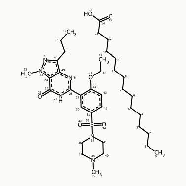 CCCCCCCCCCCCCCC(=O)O.CCCc1nn(C)c2c(=O)[nH]c(-c3cc(S(=O)(=O)N4CCN(C)CC4)ccc3OCC)nc12